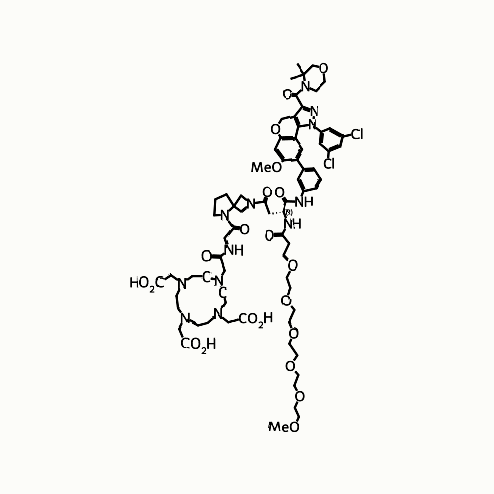 COCCOCCOCCOCCOCCOCCC(=O)N[C@H](CC(=O)N1CC2(CCCN2C(=O)CNC(=O)CN2CCN(CC(=O)O)CCN(CC(=O)O)CCN(CC(=O)O)CC2)C1)C(=O)Nc1cccc(-c2cc3c(cc2OC)OCc2c(C(=O)N4CCOCC4(C)C)nn(-c4cc(Cl)cc(Cl)c4)c2-3)c1